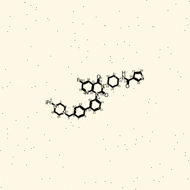 CC(C)N1CCN(Cc2ccc(-c3cccc(-n4c(=O)n([C@H]5CC[C@@H](NC(=O)c6ccsc6)CC5)c(=O)c5cc(F)cnc54)c3)cc2)CC1